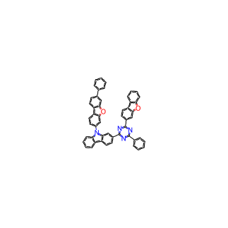 c1ccc(-c2ccc3c(c2)oc2cc(-n4c5ccccc5c5ccc(-c6nc(-c7ccccc7)nc(-c7ccc8c(c7)oc7ccccc78)n6)cc54)ccc23)cc1